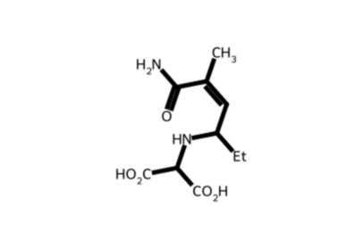 CCC(C=C(C)C(N)=O)NC(C(=O)O)C(=O)O